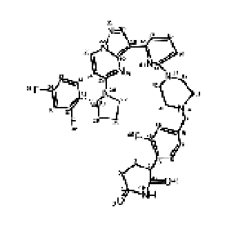 O=C1CCC(c2ccc(CN3CCN(c4cccc(-c5cnn6ccc(N7CCC[C@@H]7c7ccc(F)cc7F)nc56)n4)CC3)cc2F)C(=O)N1